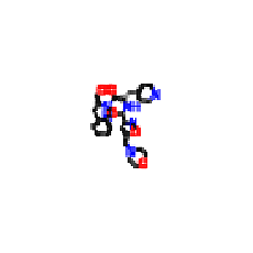 O=C[C@H](Cc1ccccc1)NC(=O)[C@H](Cc1ccncc1)NC(=O)c1cc(CN2CCOCC2)on1